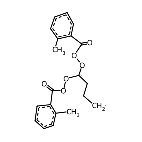 [CH2]CC[C](OOC(=O)c1ccccc1C)OOC(=O)c1ccccc1C